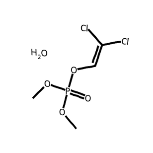 COP(=O)(OC)OC=C(Cl)Cl.O